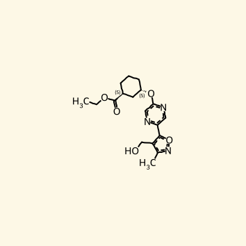 CCOC(=O)[C@H]1CCC[C@H](Oc2cnc(-c3onc(C)c3CO)cn2)C1